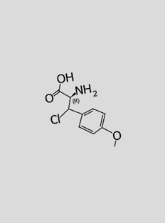 COc1ccc(C(Cl)[C@H](N)C(=O)O)cc1